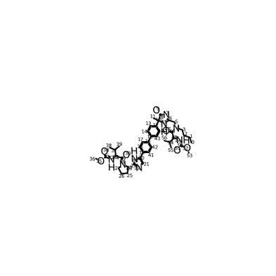 CCCCN(CC1=NC(=O)C(C)(c2ccc(-c3ccc(-c4cnc([C@@H]5CCCN5C(=O)[C@@H](NC(=O)OC)C(C)C)[nH]4)cc3)cc2)N1)C(=O)[C@@H](NC(=O)OC)C(C)C